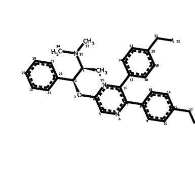 C[C@@H]([C@@H](Oc1cnc(-c2ccc(CI)cc2)c(-c2ccc(CI)cc2)n1)c1ccccc1)N(C)C